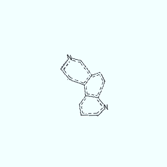 [c]1cncc2ccc3ncccc3c12